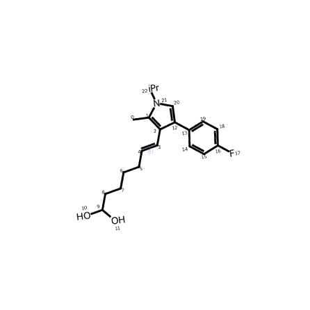 Cc1c(/C=C/CCCCC(O)O)c(-c2ccc(F)cc2)cn1C(C)C